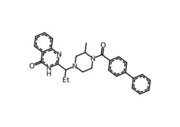 CCC(c1nc2ccccc2c(=O)[nH]1)N1CCN(C(=O)c2ccc(-c3ccccc3)cc2)C(C)C1